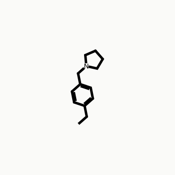 CCc1ccc(CN2CCCC2)cc1